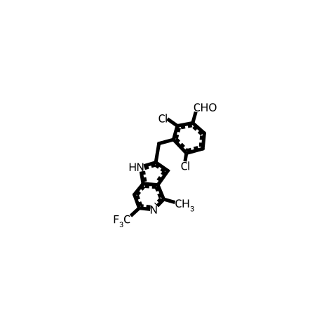 Cc1nc(C(F)(F)F)cc2[nH]c(Cc3c(Cl)ccc(C=O)c3Cl)cc12